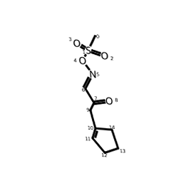 CS(=O)(=O)ON=CC(=O)CC1=CCCC1